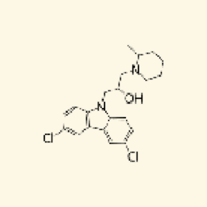 CC1CCCCN1CC(O)Cn1c2ccc(Cl)cc2c2cc(Cl)ccc21